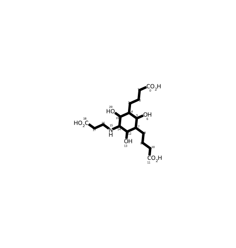 O=C(O)CCCC1C(O)C(CCCC(=O)O)C(O)C(NCCC(=O)O)C1O